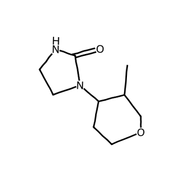 CC1COCCC1N1CCNC1=O